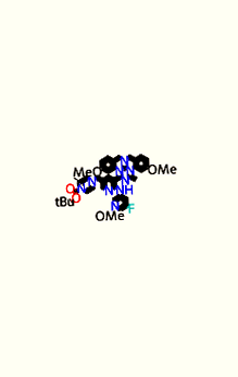 COc1ccc(CN(Cc2ccc(OC)cc2)c2nc(C)nc(-c3cc(CN4CCN(C(=O)OC(C)(C)C)[C@H](C)C4)cnc3Nc3cnc(OC)c(F)c3)n2)cc1